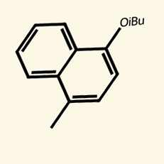 Cc1ccc(OCC(C)C)c2ccccc12